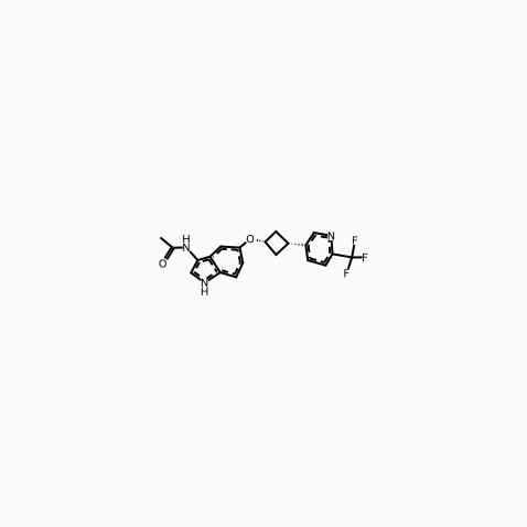 CC(=O)Nc1c[nH]c2ccc(O[C@H]3C[C@@H](c4ccc(C(F)(F)F)nc4)C3)cc12